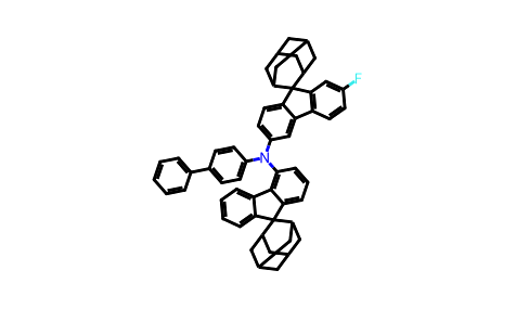 Fc1ccc2c(c1)C1(c3ccc(N(c4ccc(-c5ccccc5)cc4)c4cccc5c4-c4ccccc4C54C5CC6CC(C5)CC4C6)cc3-2)C2CC3CC(C2)CC1C3